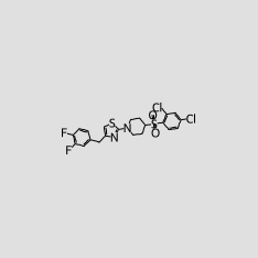 O=S(=O)(c1ccc(Cl)cc1Cl)C1CCN(c2nc(Cc3ccc(F)c(F)c3)cs2)CC1